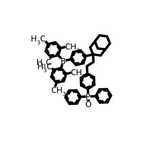 Cc1cc(C)c(B(c2ccc(C3(CCc4ccc(P(=O)(c5ccccc5)c5ccccc5)cc4)CC4CCCC(C4)C3)cc2)c2c(C)cc(C)cc2C)c(C)c1